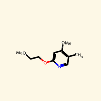 COCCOc1cc(OC)c(C)cn1